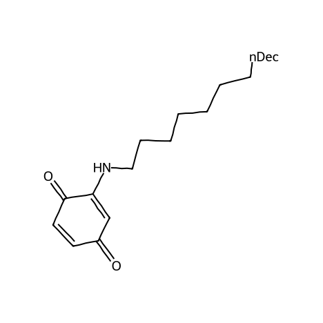 CCCCCCCCCCCCCCCCCNC1=CC(=O)C=CC1=O